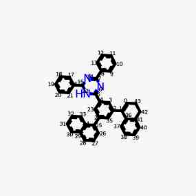 C1=C(c2cc(C3=NC(c4ccccc4)=NC(c4ccccc4)N3)cc(-c3cccc4ccccc34)c2)c2ccccc2CC1